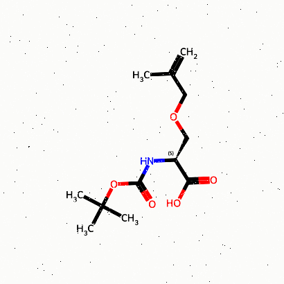 C=C(C)COC[C@H](NC(=O)OC(C)(C)C)C(=O)O